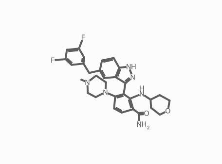 CN1CCN(c2ccc(C(N)=O)c(NC3CCOCC3)c2-c2n[nH]c3ccc(Cc4cc(F)cc(F)c4)cc23)CC1